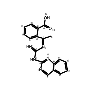 CC(=NC(=N)Nc1ncc2ccccc2n1)c1ccccc1C(=O)O